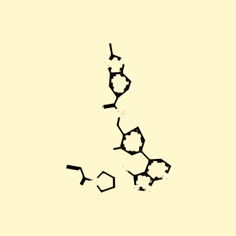 C=CC(=O)N1CC[C@@H](Nc2n[nH]c3nccc(-c4ccc(CNC(=O)c5ccc6oc(C)nc6c5)c(F)c4)c23)C1